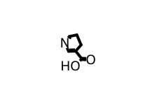 O=C(O)C1=CN=CCC1